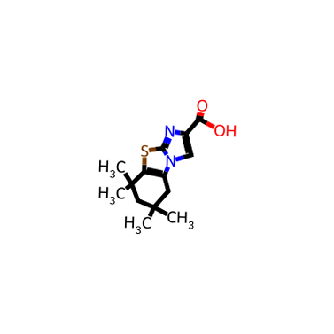 CC1(C)Cc2c(sc3nc(C(=O)O)cn23)C(C)(C)C1